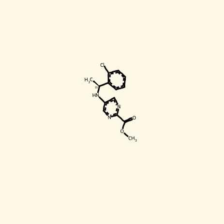 COC(=O)c1ncc(N[C@@H](C)c2ccccc2Cl)cn1